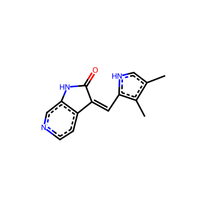 Cc1c[nH]c(C=C2C(=O)Nc3cnccc32)c1C